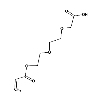 C=CC(=O)OCCOCCOCC(=O)O